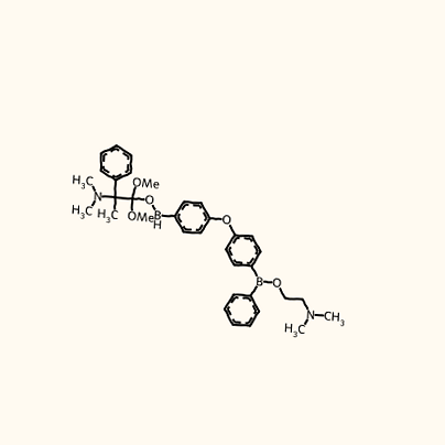 COC(OC)(OBc1ccc(Oc2ccc(B(OCCN(C)C)c3ccccc3)cc2)cc1)C(C)(c1ccccc1)N(C)C